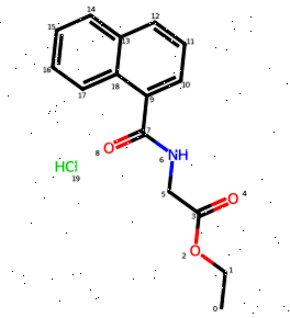 CCOC(=O)CNC(=O)c1cccc2ccccc12.Cl